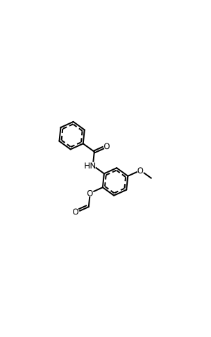 COc1ccc(OC=O)c(NC(=O)c2ccccc2)c1